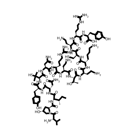 CC[C@H](C)[C@H](NC(=O)[C@@H]1C[C@@H](O)CN1C(=O)[C@@H](N)C(C)C)C(=O)N[C@@H](CC(N)=O)C(=O)N[C@@H](Cc1ccc(O)cc1)C(=O)N[C@H](C(=O)N[C@@H](CC(N)=O)C(=O)N[C@@H](CCCNC(=N)N)C(=O)N[C@@H](CCN)C(=O)N[C@H](C(=O)N[C@H](CCN)C(=O)N[C@@H](CCCCN)C(=O)N[C@@H](CS)C(=O)N[C@@H](CCN)C(=O)N[C@@H](CCCNC(=N)N)C(=O)N[C@@H](Cc1ccc(O)cc1)C(=O)O)[C@@H](C)O)C(C)(C)S